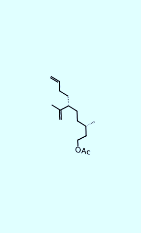 C=CCC[C@H](CC[C@H](C)CCOC(C)=O)C(=C)C